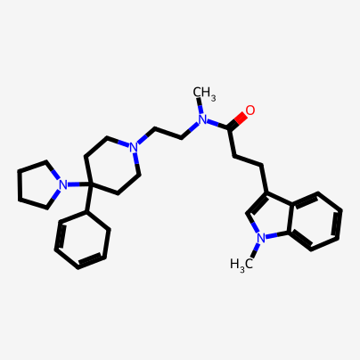 CN(CCN1CCC(C2C=CC=CC2)(N2CCCC2)CC1)C(=O)CCc1cn(C)c2ccccc12